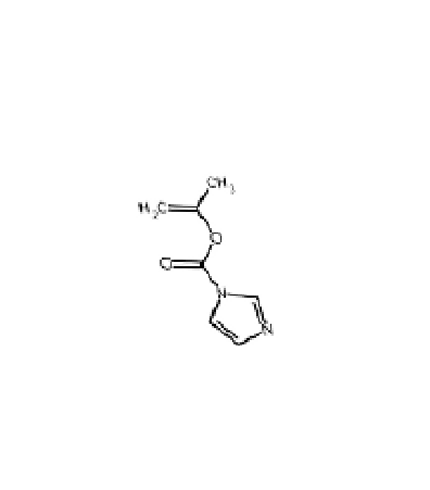 C=C(C)OC(=O)n1ccnc1